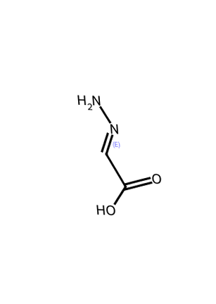 N/N=C/C(=O)O